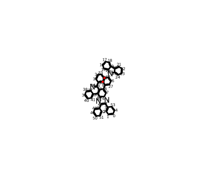 c1ccc(-c2nc3cc(-c4ccc(-n5c6ccccc6c6ccccc65)cc4)c4c(-c5ccccc5)nc5ccccc5c4c3nc2-c2ccccc2)cc1